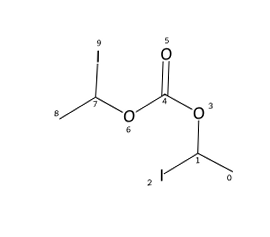 CC(I)OC(=O)OC(C)I